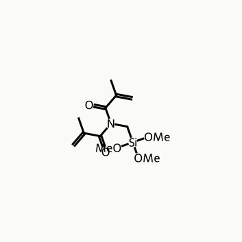 C=C(C)C(=O)N(C[Si](OC)(OC)OC)C(=O)C(=C)C